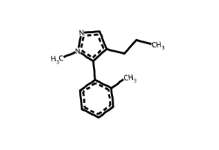 CCCc1cnn(C)c1-c1ccccc1C